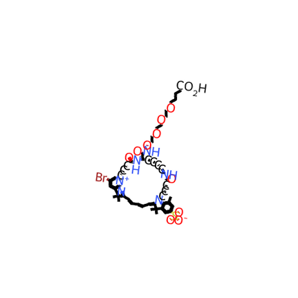 Cc1cc(S(=O)(=O)[O-])cc2c1N1CCCC(=O)NCCCCC(C(=O)NOCCOCCOCCOCCCCC(=O)O)NC(=O)CCC[n+]3cc(Br)cc4c3N=C(/C=C/C=C/C=C/1C2(C)C)C4(C)C